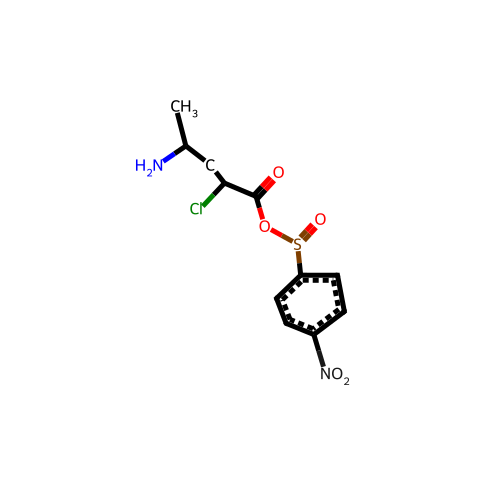 CC(N)CC(Cl)C(=O)OS(=O)c1ccc([N+](=O)[O-])cc1